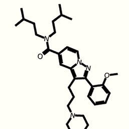 COc1ccccc1-c1nn2ccc(C(=O)N(CCC(C)C)CCC(C)C)cc2c1CCCN1CCCCC1